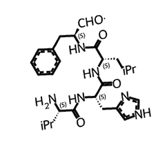 CC(C)C[C@H](NC(=O)[C@H](Cc1c[nH]cn1)NC(=O)[C@@H](N)C(C)C)C(=O)N[C@H]([C]=O)Cc1ccccc1